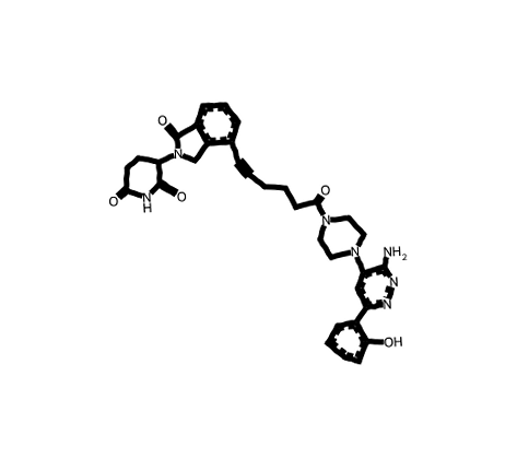 Nc1nnc(-c2ccccc2O)cc1N1CCN(C(=O)CCCC#Cc2cccc3c2CN(C2CCC(=O)NC2=O)C3=O)CC1